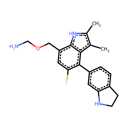 Cc1[nH]c2c(COCN)cc(F)c(-c3ccc4c(c3)NCC4)c2c1C